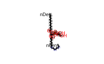 CCCCC/C=C\C/C=C\C/C=C\CCCCCCC(=O)O[C@H](COC(=O)CCCCCCCCCCCCCCCCCCCCC)COP(=O)(O)OC[C@@H](O)CO